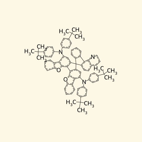 CC(C)(C)c1ccc(N(c2ccc(C(C)(C)C)cc2)c2cc3c(c4oc5ccccc5c24)-c2c(cc(N(c4ccc(C(C)(C)C)cc4)c4ccc(C(C)(C)C)cc4)c4c2oc2ccccc24)C32c3ccccc3-c3c2ccc2cccnc32)cc1